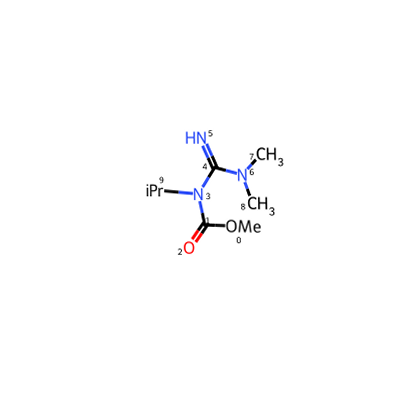 COC(=O)N(C(=N)N(C)C)C(C)C